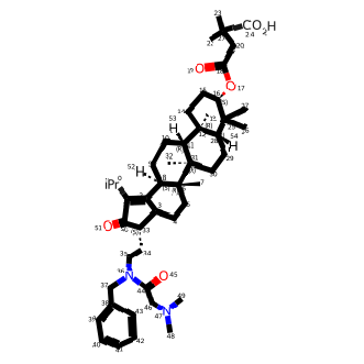 CC(C)C1=C2C(CC[C@]3(C)[C@@H]2CC[C@@H]2[C@@]4(C)CC[C@H](OC(=O)CC(C)(C)C(=O)O)C(C)(C)[C@@H]4CC[C@]23C)[C@H](CCN(Cc2ccccc2)C(=O)CN(C)C)C1=O